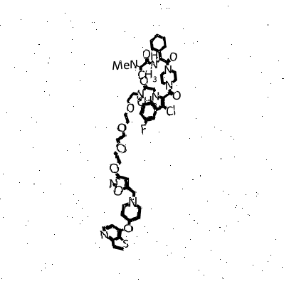 CN[C@@H](C)C(=O)N[C@H](C(=O)N1CCN(C(=O)c2c(Cl)c3cc(F)ccc3n2CC(=O)N(C)CCOCCOCCOCCOc2cc(CN3CCC(Oc4ccnc5ccsc45)CC3)on2)CC1)C1CCCCC1